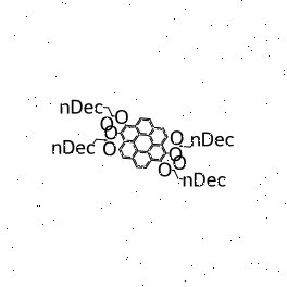 CCCCCCCCCCCC(=O)Oc1c(OC(=O)CCCCCCCCCCC)c2ccc3ccc4c(OC(=O)CCCCCCCCCCC)c(OC(=O)CCCCCCCCCCC)c5ccc6ccc1c1c6c5c4c3c21